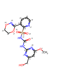 COc1cc(CO)nc(NC(=O)NS(=O)(=O)c2ncccc2C2=NOCCO2)n1